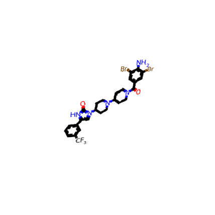 Nc1c(Br)cc(C(=O)N2CCC(N3CCC(n4cc(-c5cccc(C(F)(F)F)c5)[nH]c4=O)CC3)CC2)cc1Br